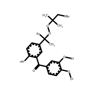 CCCc1ccc(C(C)(CC)OOC(C)(C)CC(C)(C)C)cc1C(=O)c1ccc(OCC)c(OCC)c1